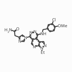 CCn1ncc2c3c(NCc4ccc(OC)c(Cl)c4)nnc(-n4cnc(CC(N)=O)c4)c3cnc21